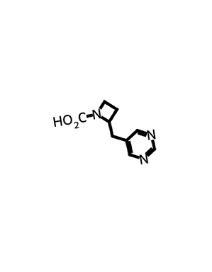 O=C(O)N1CCC1Cc1cncnc1